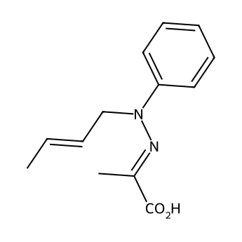 CC=CCN(N=C(C)C(=O)O)c1ccccc1